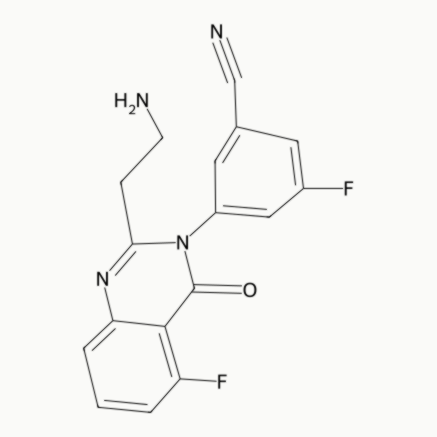 N#Cc1cc(F)cc(-n2c(CCN)nc3cccc(F)c3c2=O)c1